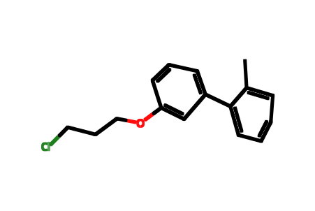 Cc1ccccc1-c1cccc(OCCCCl)c1